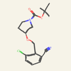 CC(C)(C)OC(=O)N1CC[C@H](OCc2c(Cl)cccc2C#N)C1